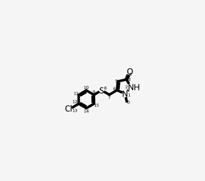 Cn1[nH]c(=O)cc1CSc1ccc(Cl)cc1